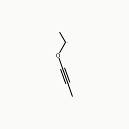 CC#CO[CH]C